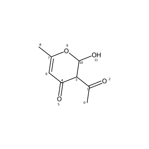 CC(=O)C1C(=O)C=C(C)OC1O